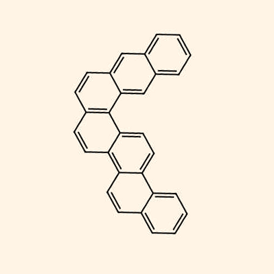 c1ccc2cc3c(ccc4ccc5c6ccc7ccccc7c6ccc5c43)cc2c1